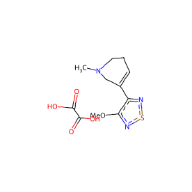 COc1nsnc1C1=CCCN(C)C1.O=C(O)C(=O)O